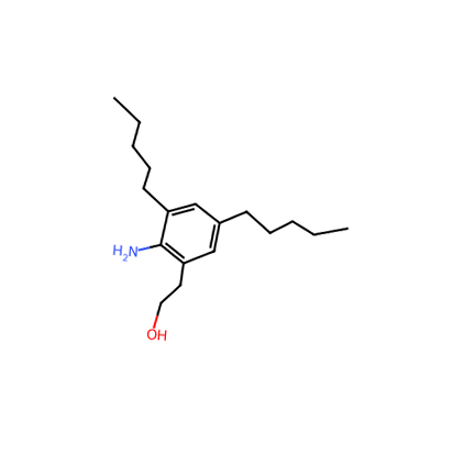 CCCCCc1cc(CCO)c(N)c(CCCCC)c1